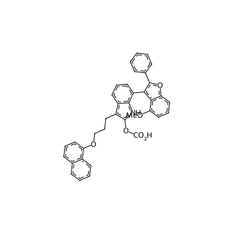 COc1cccc2oc(-c3ccccc3)c(-c3cccc4c(CCCOc5cccc6ccccc56)c(OC(=O)O)[nH]c34)c12